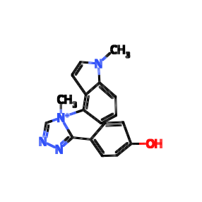 Cn1ccc2c([N+]3(C)C=NN=C3c3ccc(O)cc3)cccc21